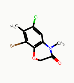 Cc1c(Cl)cc2c(c1Br)OCC(=O)N2C